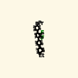 CCCC1CCC(c2ccc(C3CCC(C4C=CC(CC)CC4)CC3)c(F)c2F)CC1